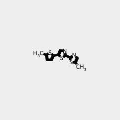 Cc1ccc(-c2cnc(-c3ncc(C)s3)s2)s1